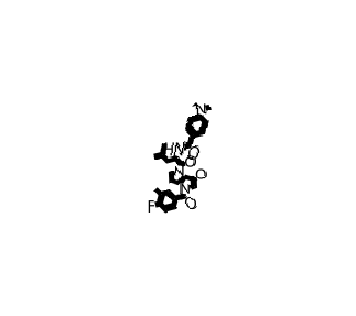 Cc1cc(C(=O)N2CC(=O)C3C2CCN3C(=O)C(CC(C)C)NC(=O)c2ccc(N(C)C)cc2)ccc1F